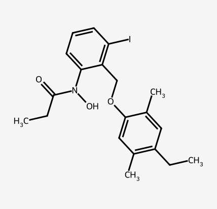 CCC(=O)N(O)c1cccc(I)c1COc1cc(C)c(CC)cc1C